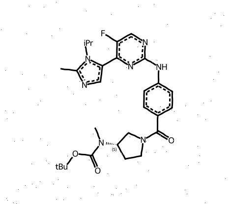 Cc1ncc(-c2nc(Nc3ccc(C(=O)N4CC[C@H](N(C)C(=O)OC(C)(C)C)C4)cc3)ncc2F)n1C(C)C